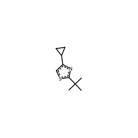 CC(C)(C)c1nc(C2CC2)cs1